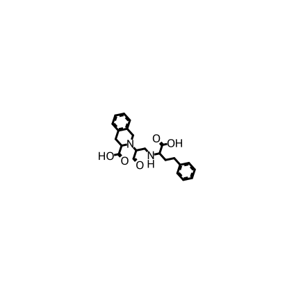 O=CC(CNC(CCc1ccccc1)C(=O)O)N1Cc2ccccc2CC1C(=O)O